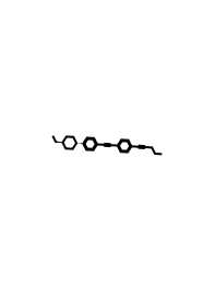 CCCC#Cc1ccc(C#Cc2ccc([C@H]3CC[C@H](CC)CC3)cc2)cc1